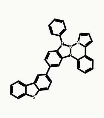 c1ccc(N2B3N(c4ccccc4-c4cccn43)c3cc(-c4ccc5sc6ccccc6c5c4)ccc32)cc1